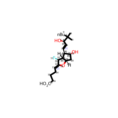 CCCCC(C)(C)[C@H](O)/C=C/[C@@H]1[C@H]2[C@H](F)/C(=C/CCCC(=O)O)O[C@@H]2C[C@H]1O